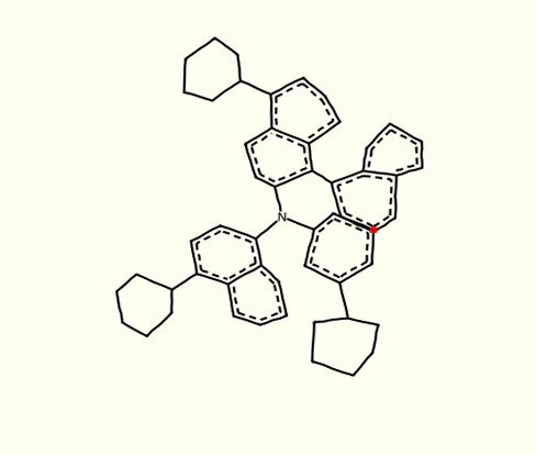 c1cc(C2CCCCC2)cc(N(c2ccc3c(C4CCCCC4)cccc3c2-c2cccc3ccccc23)c2ccc(C3CCCCC3)c3ccccc23)c1